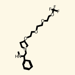 CNC(CN1CCC(OCCOCCOCCOC(F)(F)F)C1)c1ccccc1